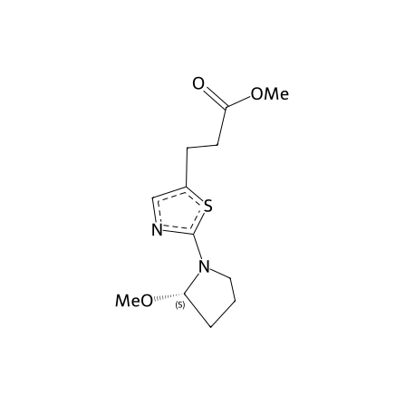 COC(=O)CCc1cnc(N2CCC[C@@H]2OC)s1